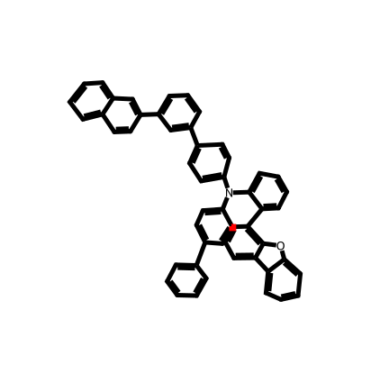 c1ccc(-c2ccc(N(c3ccc(-c4cccc(-c5ccc6ccccc6c5)c4)cc3)c3ccccc3-c3cccc4c3oc3ccccc34)cc2)cc1